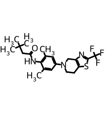 Cc1cc(N2CCc3sc(C(F)(F)F)nc3C2)cc(C)c1NC(=O)CC(C)(C)C